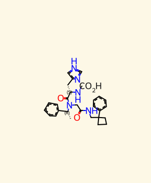 C[C@H](c1ccccc1)N(CC(=O)NCC1(c2ccccc2)CCC1)C(=O)[C@H](Cc1c[nH]cn1)NC(=O)O